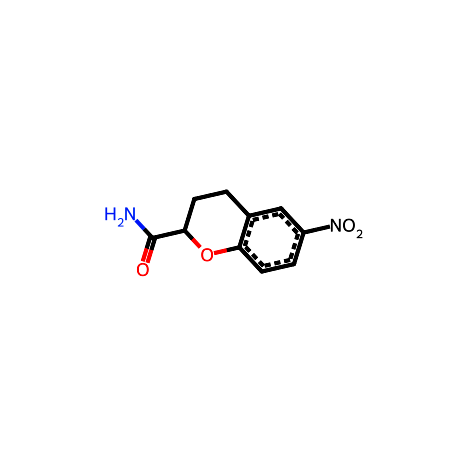 NC(=O)C1CCc2cc([N+](=O)[O-])ccc2O1